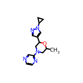 CC1CN(c2cnccn2)CC(c2cnn(C3CC3)c2)O1